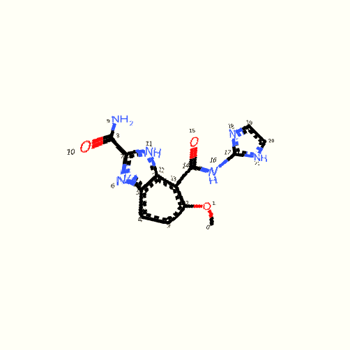 COc1ccc2nc(C(N)=O)[nH]c2c1C(=O)Nc1ncc[nH]1